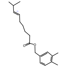 Cc1ccc(COC(=O)CCCC/C=C/C(C)C)cc1C